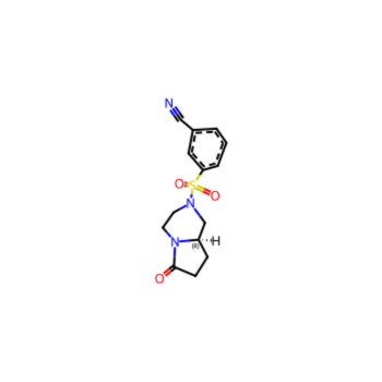 N#Cc1cccc(S(=O)(=O)N2CCN3C(=O)CC[C@@H]3C2)c1